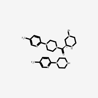 CC(C)N1CCN[C@@H](C(=O)N2CCN(c3ccc(C(F)(F)F)cn3)CC2)C1.FC(F)(F)c1ccc(N2CCNCC2)nc1